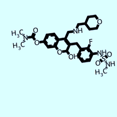 CNS(=O)(=O)Nc1cccc(CC2=C(CNCC3CCOCC3)c3ccc(OC(=O)N(C)C)cc3OC2O)c1F